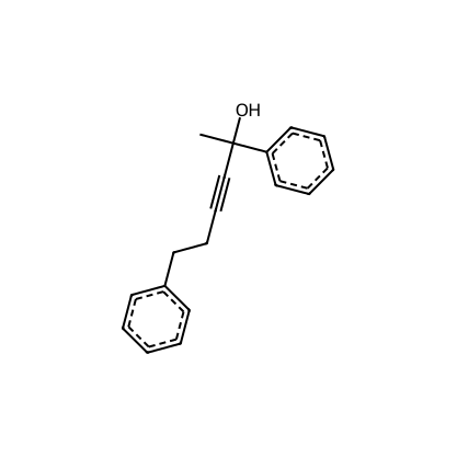 CC(O)(C#CCCc1ccccc1)c1ccccc1